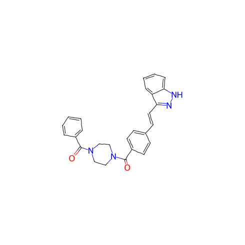 O=C(c1ccccc1)N1CCN(C(=O)c2ccc(C=Cc3n[nH]c4ccccc34)cc2)CC1